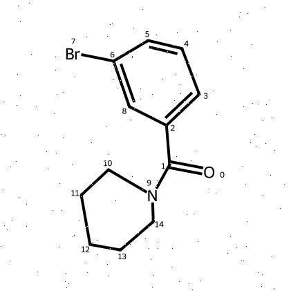 O=C(c1cccc(Br)c1)N1CCCCC1